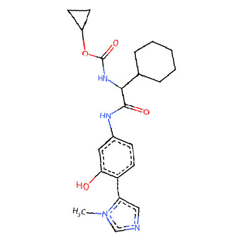 Cn1cncc1-c1ccc(NC(=O)C(NC(=O)OC2CC2)C2CCCCC2)cc1O